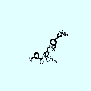 C[C@H]1CC(Cn2ncc3cc(-c4cn[nH]c4)ccc32)CN1C(=O)c1cccc(C#N)c1